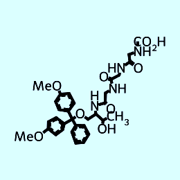 COc1ccc(C(OCC(NC(=O)CNC(=O)CNC(=O)CNC(=O)O)C(C)O)(c2ccccc2)c2ccc(OC)cc2)cc1